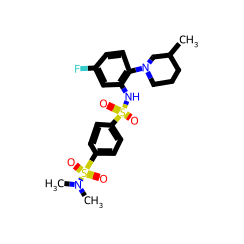 CC1CCCN(c2ccc(F)cc2NS(=O)(=O)c2ccc(S(=O)(=O)N(C)C)cc2)C1